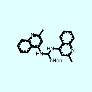 CCCCCCCCCC(Nc1cc(C)nc2ccccc12)Nc1cc(C)nc2ccccc12